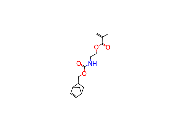 C=C(C)C(=O)OCCNC(=O)OCC1CC2C=CC1C2